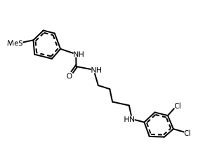 CSc1ccc(NC(=O)NCCCCNc2ccc(Cl)c(Cl)c2)cc1